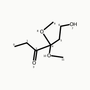 CCC(=O)C(CCO)(OC)OC